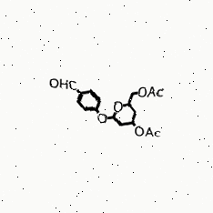 CC(=O)OCC1CC(OC(C)=O)CC(Oc2ccc(C=O)cc2)O1